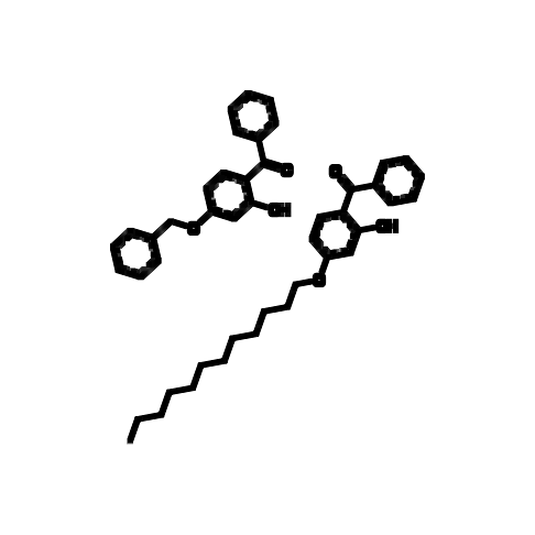 CCCCCCCCCCCCOc1ccc(C(=O)c2ccccc2)c(O)c1.O=C(c1ccccc1)c1ccc(OCc2ccccc2)cc1O